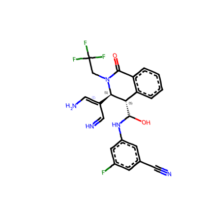 N#Cc1cc(F)cc(NC(O)[C@H]2c3ccccc3C(=O)N(CC(F)(F)F)[C@@H]2/C(C=N)=C/N)c1